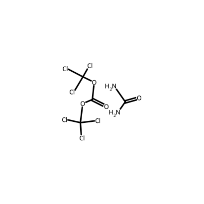 NC(N)=O.O=C(OC(Cl)(Cl)Cl)OC(Cl)(Cl)Cl